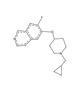 Fc1cc2cnccc2cc1OC1CCN(CC2CC2)CC1